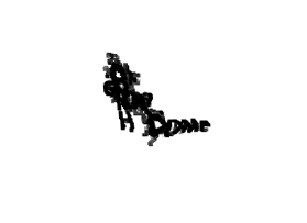 COc1cccc(C(=O)N2CCC3(CC2)NCC(=O)N3Cc2ccccc2F)c1